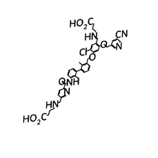 Cc1c(COc2cc(OCc3cncc(C#N)c3)c(CNCCCC(=O)O)cc2Cl)cccc1-c1cccc(NC(=O)c2ccc(CNCCCC(=O)O)cn2)c1C